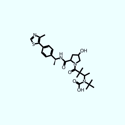 Cc1ncsc1-c1ccc([C@H](C)NC(=O)C2CC(O)CN2C(=O)C(C)(C)C(C)N(C(=O)O)C(C)(C)C)cc1